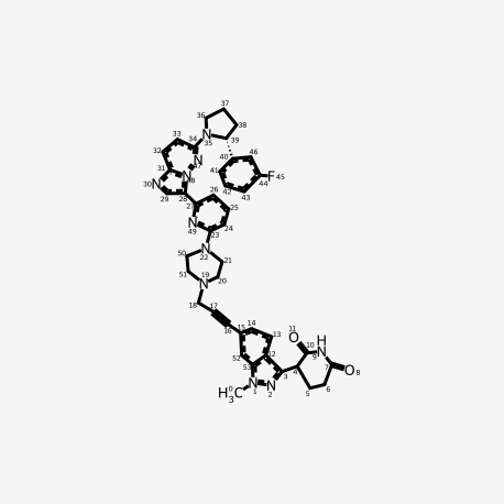 Cn1nc(C2CCC(=O)NC2=O)c2ccc(C#CCN3CCN(c4cccc(-c5cnc6ccc(N7CCC[C@@H]7c7cccc(F)c7)nn56)n4)CC3)cc21